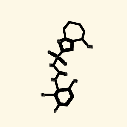 CC(C)c1ccc(F)c(C(C)C)c1NC(=O)NS(=O)(=O)c1cc2c(o1)CCCCC2O